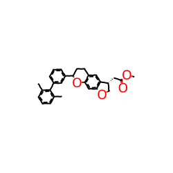 COC(=O)C[C@@H]1COc2cc3c(cc21)CCC(c1cccc(-c2c(C)cccc2C)c1)O3